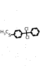 CSc1ccc(C(Cl)(Cl)c2ccccc2)cc1